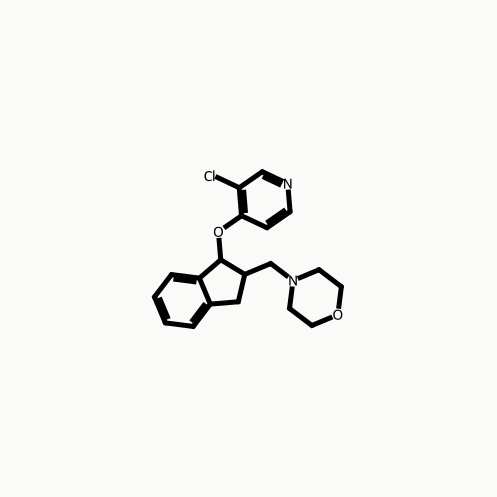 Clc1cnccc1OC1c2ccccc2CC1CN1CCOCC1